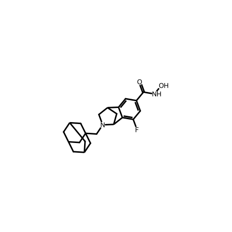 O=C(NO)c1cc(F)c2c(c1)C1CC2N(CC23CC4CC(CC(C4)C2)C3)C1